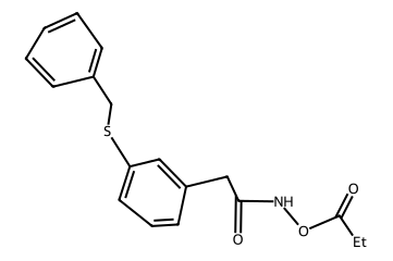 CCC(=O)ONC(=O)Cc1cccc(SCc2ccccc2)c1